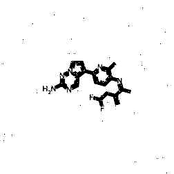 C=C(CC(F)F)/C(C)=N\c1ccc(-c2ccn3nc(N)ncc23)nc1C